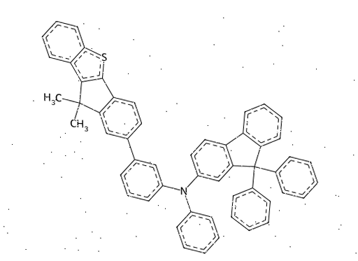 CC1(C)c2cc(-c3cccc(N(c4ccccc4)c4ccc5c(c4)C(c4ccccc4)(c4ccccc4)c4ccccc4-5)c3)ccc2-c2sc3ccccc3c21